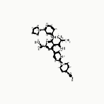 CC(C)C(=N)c1c(-c2ccc(N3CCC(C#N)CC3)nc2)cc(C(=O)O)nc1Nc1ccnc(N2CCCC2)c1